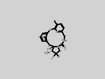 Cc1ccc2nc1Oc1cccc(c1F)C[C@H]1[C@@H](N)C(F)(F)CN1C(=O)NC2